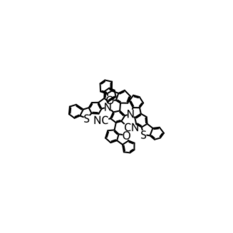 N#Cc1c(-c2cccc3c2oc2ccccc23)c(C#N)c(-n2c3ccccc3c3cc4c(cc32)sc2ccccc24)c(-c2cccc3c2oc2ccccc23)c1-n1c2ccccc2c2cc3c(cc21)sc1ccccc13